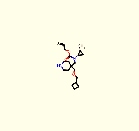 C=CCOC(=O)N(CC1(COCC2CCC2)CCNCC1)[C@@H]1C[C@H]1C